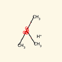 CCCCCCCC/C=C/CCCCCCCC(=O)OCC(COC(=O)CCCCCCC/C=C/CCCCCCCC)OC(=O)CCCCCCC/C=C/CCCCCCCC.[H+]